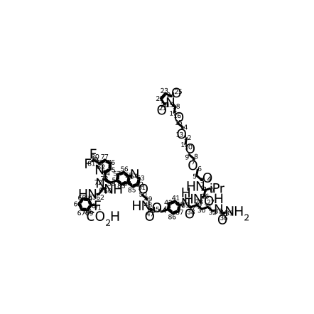 CC(C)C(NC(=O)CCOCCOCCOCCOCCN1C(=O)C=CC1=O)C(=O)NC(CCCNC(N)=O)C(=O)Nc1ccc(COC(=O)NCCOc2cnc3ccc(-c4[nH]c(CNc5cccc(C(=O)O)c5F)nc4-c4cccc(C(F)F)n4)cc3c2)cc1